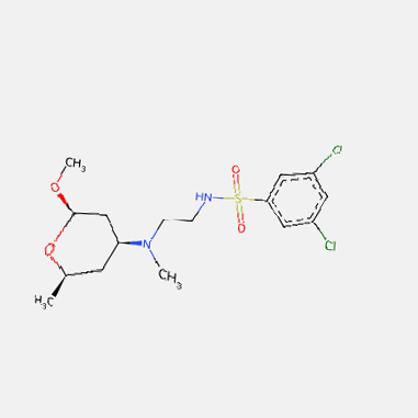 CO[C@H]1C[C@@H](N(C)CCNS(=O)(=O)c2cc(Cl)cc(Cl)c2)C[C@@H](C)O1